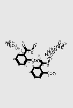 O.O.O.O.O.O.O=C([O-])c1ccccc1C(=O)O[O-].O=C([O-])c1ccccc1C(=O)O[O-].[Mg+2].[Mg+2]